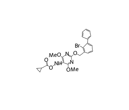 COc1nc(OCc2cccc(-c3ccccc3)c2Br)nc(OC)c1CNOC(=O)C1CC1